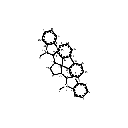 CN1c2ccccc2SC1C1CCC(C2Sc3ccccc3N2C)C12c1ccccc1-c1ccccc12